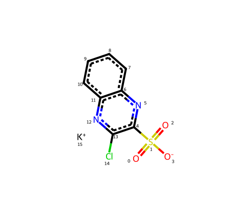 O=S(=O)([O-])c1nc2ccccc2nc1Cl.[K+]